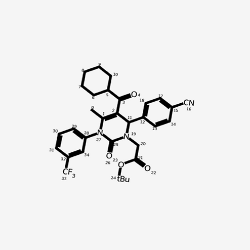 CC1=C(C(=O)C2CCCCC2)C(c2ccc(C#N)cc2)N(CC(=O)OC(C)(C)C)C(=O)N1c1cccc(C(F)(F)F)c1